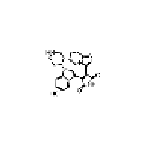 Cl.O=C1NC(=O)C(c2cnc3ccccn23)=C1c1cn(C2CCNCC2)c2ccccc12